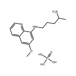 COc1cc(NCCCC(C)N)c2ncccc2c1.O=P(O)(O)O